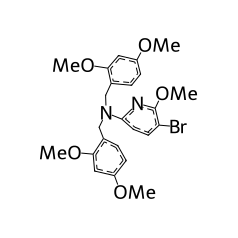 COc1ccc(CN(Cc2ccc(OC)cc2OC)c2ccc(Br)c(OC)n2)c(OC)c1